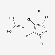 Cl.Clc1oc(Cl)c(Cl)c1Cl.O=C(O)O